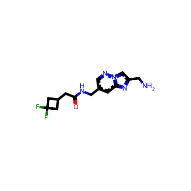 NCc1cn2ncc(CNC(=O)CC3CC(F)(F)C3)cc2n1